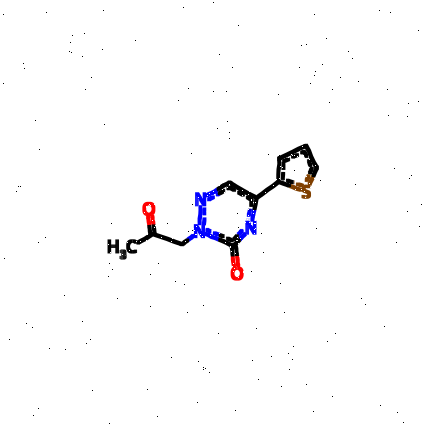 CC(=O)Cn1ncc(-c2cccs2)nc1=O